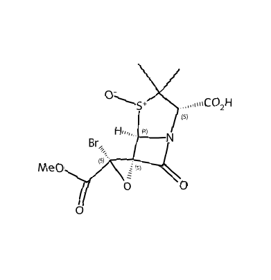 COC(=O)[C@]1(Br)O[C@]12C(=O)N1[C@@H](C(=O)O)C(C)(C)[S+]([O-])[C@@H]12